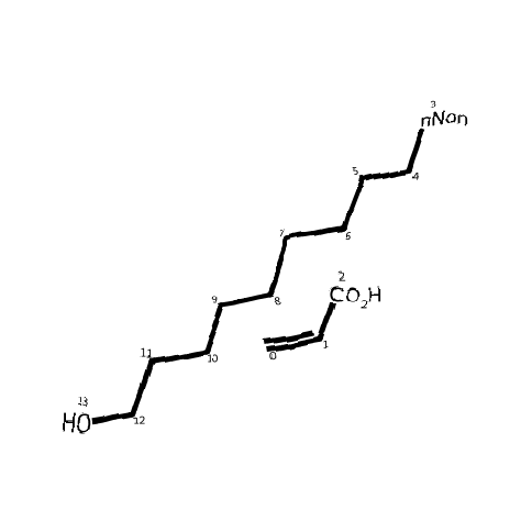 C=CC(=O)O.CCCCCCCCCCCCCCCCCCO